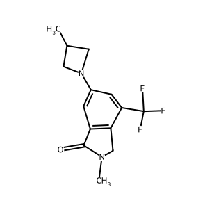 CC1CN(c2cc3c(c(C(F)(F)F)c2)CN(C)C3=O)C1